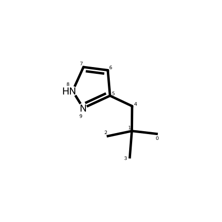 CC(C)(C)Cc1cc[nH]n1